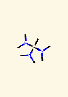 CN(C)[Si](C)(N(C)C)N(C)C